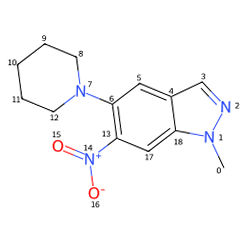 Cn1ncc2cc(N3CCCCC3)c([N+](=O)[O-])cc21